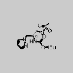 CC(C)(C)OC(=O)N[C@@H](COS(C)(=O)=O)Cn1cccn1